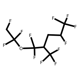 FCC(F)(F)OC(F)(F)C(CC(F)C(F)(F)F)C(F)(F)F